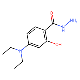 CCN(CC)c1ccc(C(=O)NN)c(O)c1